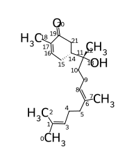 CC(C)=CCC/C(C)=C/CC[C@@](C)(O)[C@@H]1CC=C(C)C(=O)C1